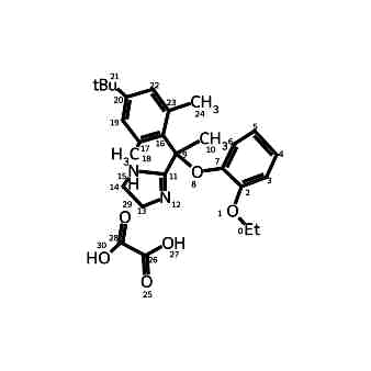 CCOc1ccccc1OC(C)(C1=NCCN1)c1c(C)cc(C(C)(C)C)cc1C.O=C(O)C(=O)O